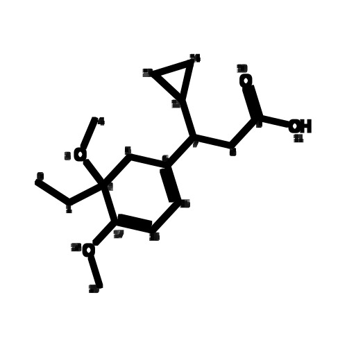 CCC1(OC)CC(C(CC(=O)O)C2CC2)=CC=C1OC